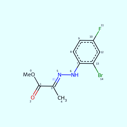 COC(=O)/C(C)=N/Nc1ccc(F)cc1Br